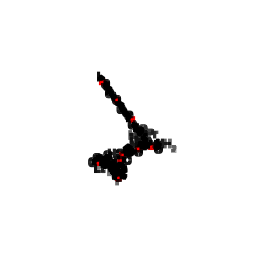 CCC1C(=O)OCc2c1cc1n(c2=O)Cc2c-1nc1cc(F)c(C)c3c1c2[C@@H](NC(=O)C(O)c1ccc(NC(=O)C(CCCNC(N)=O)NC(=O)[C@@H](NC(=O)CCOCCOCCOCCOCCOCCOCCI)C(C)C)cc1)CC3